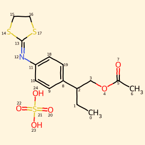 CCC(COC(C)=O)c1ccc(N=C2SCCS2)cc1.O=S(=O)(O)O